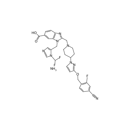 N.N#Cc1ccc(COc2ccn(C3CCN(Cc4nc5ccc(C(=O)O)cc5n4Cc4cncn4C(F)F)CC3)n2)c(F)c1